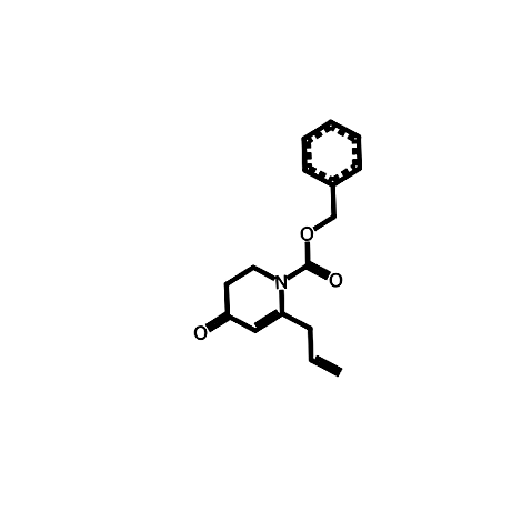 C=CCC1=CC(=O)CCN1C(=O)OCc1ccccc1